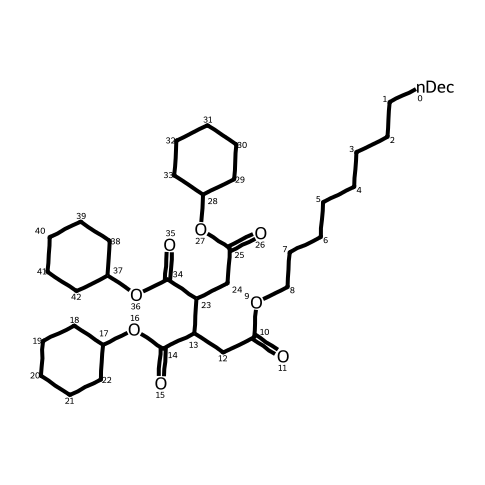 CCCCCCCCCCCCCCCCCCOC(=O)CC(C(=O)OC1CCCCC1)C(CC(=O)OC1CCCCC1)C(=O)OC1CCCCC1